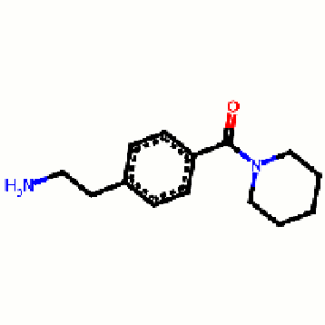 NCCc1ccc(C(=O)N2CCCCC2)cc1